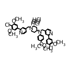 COc1ccc(N(Cc2ccnc(-c3cc(OC)c(Cl)c(OC)c3)c2)C2CCN(Cc3ccnc(-c4cc(OC)c(Cl)c(OC)c4)c3)CC2)cc1.Cl.Cl.Cl